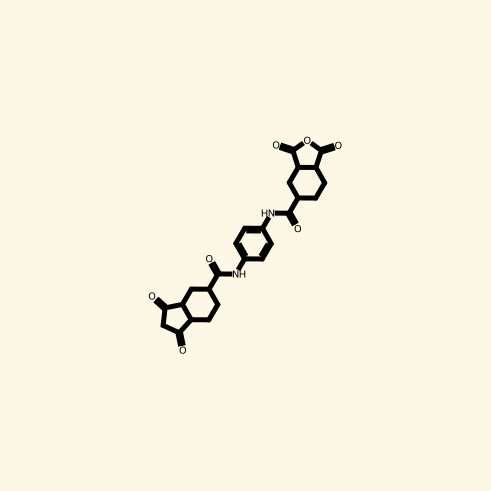 O=C(Nc1ccc(NC(=O)C2CCC3C(=O)OC(=O)C3C2)cc1)C1CCC2C(=O)CC(=O)C2C1